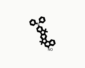 CC1(C)c2cc(N(c3ccccc3)c3ccccc3)ccc2-c2cc3c(cc21)-c1c(cc(N=O)c2ccccc12)C3(C)C